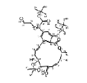 C[C@@H]1/C=C\C(=O)[C@H]2OC(C)(C)O[C@H]2C/C=C/c2cc(N(OCC=O)C(=O)OC(C)(C)C)cc(O[Si](C)(C)C(C)(C)C)c2C(=O)O[C@H]1C